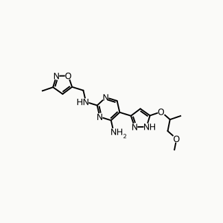 COCC(C)Oc1cc(-c2cnc(NCc3cc(C)no3)nc2N)n[nH]1